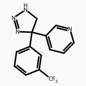 FC(F)(F)c1cccc(C2(c3cccnc3)CNN=N2)c1